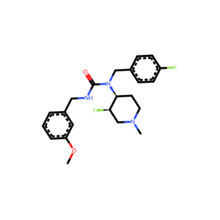 COc1cccc(CNC(=O)N(Cc2ccc(F)cc2)[C@H]2CCN(C)C[C@H]2F)c1